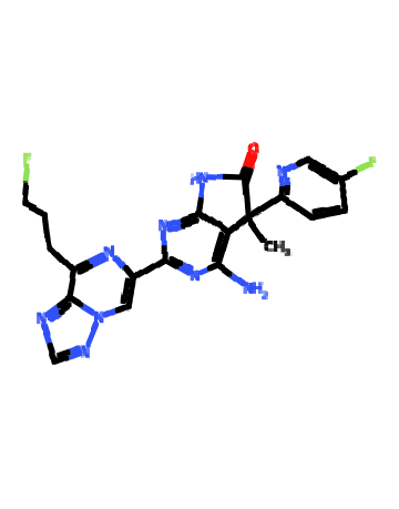 CC1(c2ccc(F)cn2)C(=O)Nc2nc(-c3cn4ncnc4c(CCCF)n3)nc(N)c21